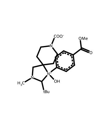 COC(=O)c1ccc([N+]2(O)C(C(C)(C)C)N(C)CC23CCN(C(=O)[O-])CC3)cc1